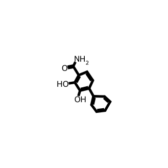 NC(=O)c1ccc(-c2ccccc2)c(O)c1O